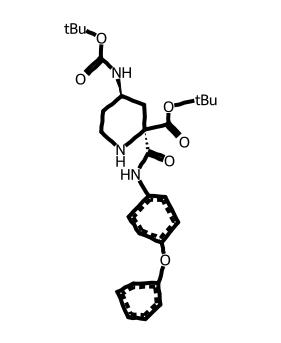 CC(C)(C)OC(=O)N[C@@H]1CCN[C@](C(=O)Nc2ccc(Oc3ccccc3)cc2)(C(=O)OC(C)(C)C)C1